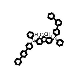 CC1(C)c2cc(N(c3ccccc3)c3ccc(-c4ccc(-c5ccccc5)cc4)cc3)ccc2-c2ccc(N(c3ccccc3)c3ccc(-c4cccc(-c5ccccc5)c4)cc3)cc21